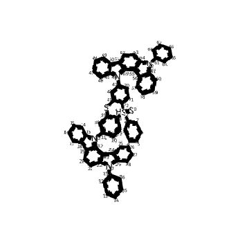 S=[SH]1(c2ccccc2)c2ccc(-n3c4ccccc4c4ccc5c(c6ccccc6n5-c5ccccc5)c43)cc2Sc2cc(-n3c4ccccc4c4ccc5c(c6ccccc6n5-c5ccccc5)c43)ccc21